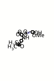 COc1cc(/C=C/C(=O)Oc2cc3c(cc2Nc2ccc(-n4c(=O)cc(C)n4C)cc2)OCO3)ccc1O